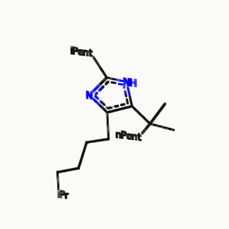 CCCCCC(C)(C)c1[nH]c(C(C)CCC)nc1CCCCC(C)C